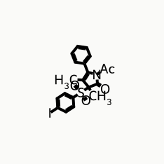 CC(=O)N1C(=O)C(C)(S(=O)(=O)c2ccc(I)cc2)C(C)=C1c1ccccc1